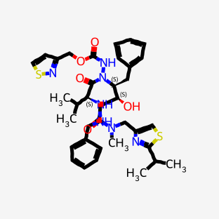 CC(C)c1nc(CN(C)C(=O)N[C@H](C(=O)N(NC(=O)OCc2ccsn2)[C@@H](Cc2ccccc2)[C@@H](O)CNCc2ccccc2)C(C)C)cs1